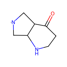 O=C1CCNC2C[N]CC12